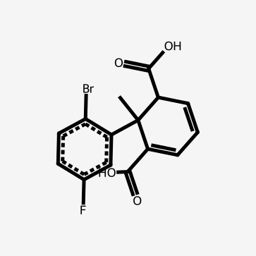 CC1(c2cc(F)ccc2Br)C(C(=O)O)=CC=CC1C(=O)O